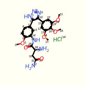 COc1ccc(-c2[nH]nnc2-c2cc(OC)c(OC)c(OC)c2)cc1NC(=O)C(N)CC(N)=O.Cl